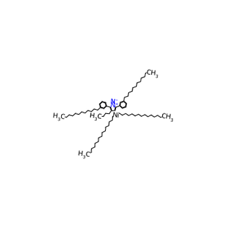 CCCCCCCCCCCCCC[CH2][Ni][CH2]CCCCCCCCCCCCCC.CCCCCCCCCCCCc1cccc(C2=CC(CCCC)=C(c3cccc(CCCCCCCCCCCC)c3)[N+]2=[N-])c1